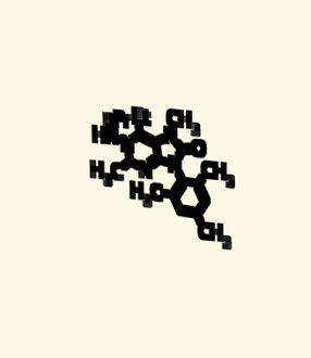 CCCNN1C(CC)=c2c(n(-c3c(C)cc(C)cc3C)c(=O)n2C)=NC1C